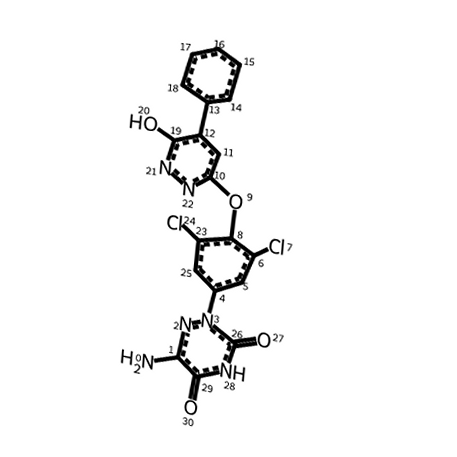 Nc1nn(-c2cc(Cl)c(Oc3cc(-c4ccccc4)c(O)nn3)c(Cl)c2)c(=O)[nH]c1=O